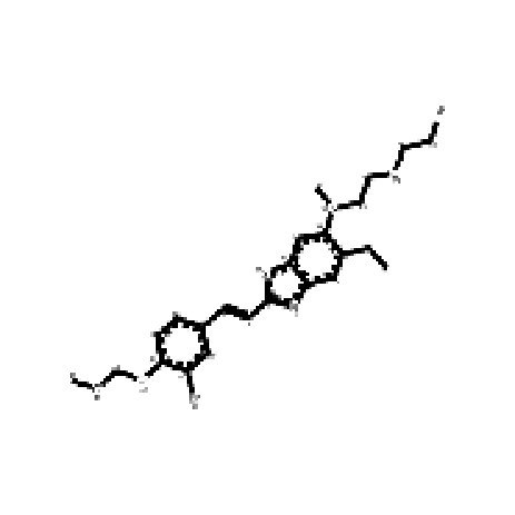 CCc1cc2nc(/C=C/c3ccc(OCOC)c(Br)c3)sc2cc1N(C)CCOCCF